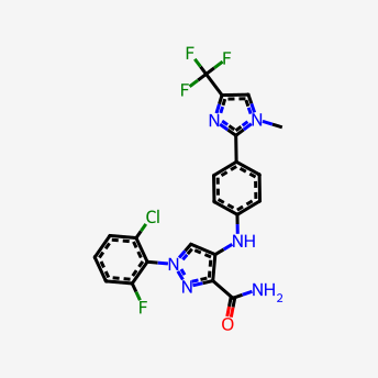 Cn1cc(C(F)(F)F)nc1-c1ccc(Nc2cn(-c3c(F)cccc3Cl)nc2C(N)=O)cc1